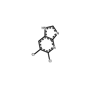 Clc1cc2[nH]cnc2nc1Cl